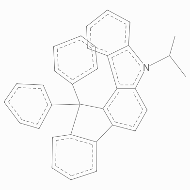 CC(C)n1c2ccccc2c2c3c(ccc21)-c1ccccc1C3(c1ccccc1)c1ccccc1